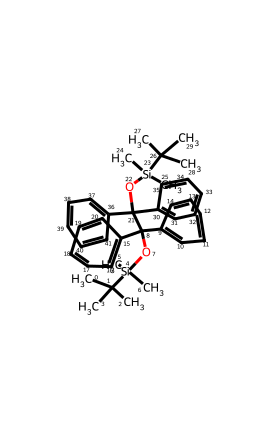 CC(C)(C)[Si](C)(C)OC(c1ccccc1)(c1ccccc1)C(O[Si](C)(C)C(C)(C)C)(c1ccccc1)c1ccccc1